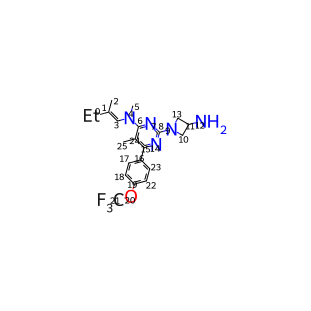 CC/C(C)=C/N(C)c1nc(N2CC(N)C2)nc(-c2ccc(OC(F)(F)F)cc2)c1C